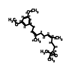 COc1cc(CC=C(C)CCC=C(C)CC[C@H]2OC2(C)C)cc(OC)c1